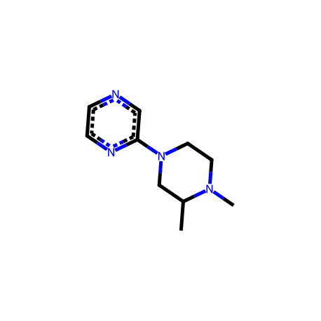 CC1CN(c2cnccn2)CCN1C